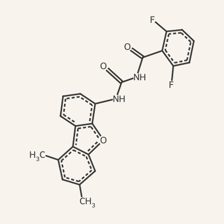 Cc1cc(C)c2c(c1)oc1c(NC(=O)NC(=O)c3c(F)cccc3F)cccc12